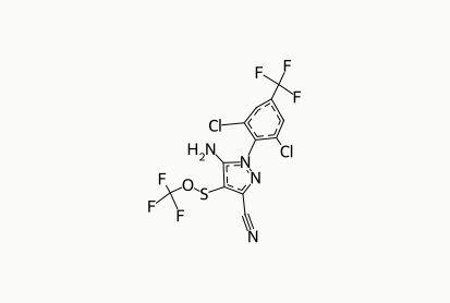 N#Cc1nn(-c2c(Cl)cc(C(F)(F)F)cc2Cl)c(N)c1SOC(F)(F)F